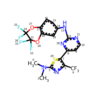 CN(C)c1nc(C(F)(F)F)c(-c2ccnc(Nc3ccc4c(c3)OC(F)(F)C(F)(F)O4)n2)s1